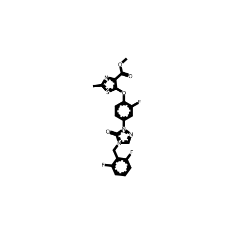 COC(=O)c1nc(C)sc1Oc1ccc(-n2ncn(Cc3c(F)cccc3F)c2=O)cc1F